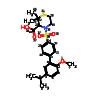 COc1ccc(C(C)C)cc1-c1ccc(S(=O)(=O)N2CCSC(C)(C)[C@@H]2C(=O)O)cc1